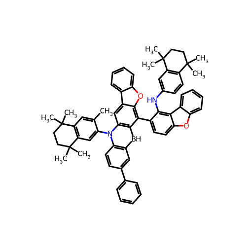 Cc1cc2c(cc1N1c3ccc(-c4ccccc4)cc3Bc3c1cc1c(oc4ccccc41)c3-c1ccc3oc4ccccc4c3c1Nc1ccc3c(c1)C(C)(C)CCC3(C)C)C(C)(C)CCC2(C)C